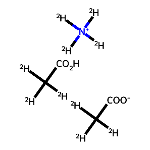 [2H]C([2H])([2H])C(=O)O.[2H]C([2H])([2H])C(=O)[O-].[2H][N+]([2H])([2H])[2H]